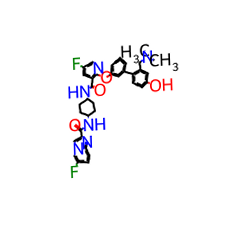 CN(C)Cc1cc(O)ccc1-c1cccc(Oc2ncc(F)cc2C(=O)N[C@H]2CC[C@@H](NC(=O)c3cn4cc(F)ccc4n3)CC2)c1